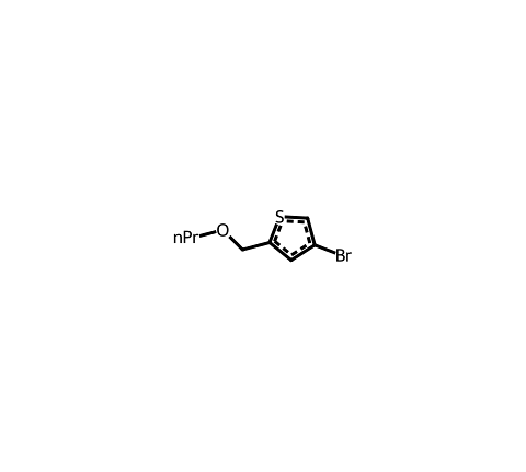 CCCOCc1cc(Br)cs1